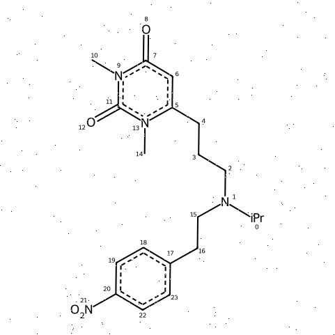 CC(C)N(CCCc1cc(=O)n(C)c(=O)n1C)CCc1ccc([N+](=O)[O-])cc1